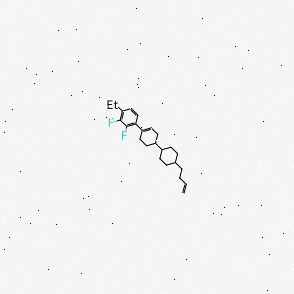 C=CCCC1CCC(C2CC=C(c3ccc(CC)c(F)c3F)CC2)CC1